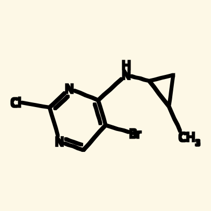 CC1CC1Nc1nc(Cl)ncc1Br